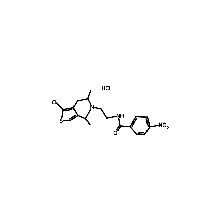 CC1Cc2c(csc2Cl)C(C)N1CCNC(=O)c1ccc([N+](=O)[O-])cc1.Cl